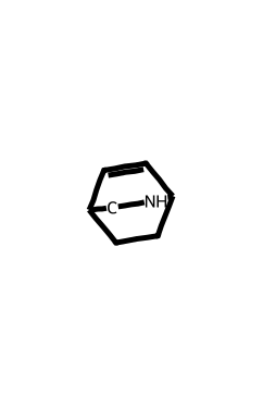 C1=CC2CCC1CN2